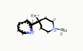 CCC1(c2ccccn2)CCN(C(C)(C)C)CC1